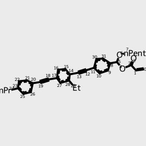 C=CC(=O)OC(OCCCCC)c1ccc(C#Cc2ccc(C#Cc3ccc(CCC)cc3)cc2CC)cc1